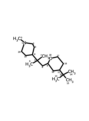 CN1CCC(C(C)(C)CC2CC(C(C)(C)C)CCO2)CC1